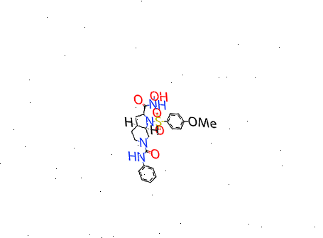 COc1ccc(S(=O)(=O)N2[C@H](C(=O)NO)C[C@@H]3CCN(C(=O)Nc4ccccc4)C[C@@H]32)cc1